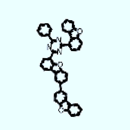 c1ccc(-c2nc(-c3cccc4c3oc3ccc(-c5ccc6oc7ccccc7c6c5)cc34)nc(-c3cccc4oc5ccccc5c34)n2)cc1